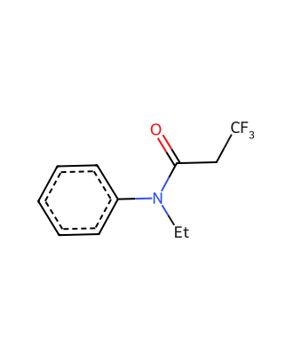 CCN(C(=O)CC(F)(F)F)c1ccccc1